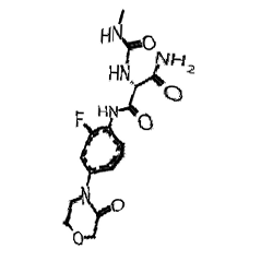 CNC(=O)N[C@H](C(N)=O)C(=O)Nc1ccc(N2CCOCC2=O)cc1F